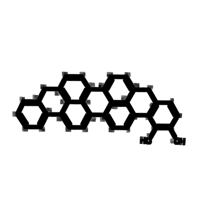 Oc1ccc2c(c1O)-c1ccc3c4ccc5c6c(ccc(c7ccc(c1c73)C2)c64)Cc1ccccc1-5